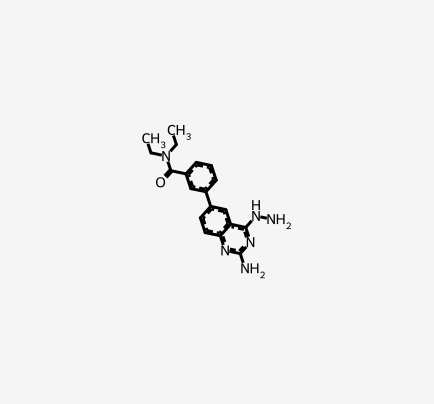 CCN(CC)C(=O)c1cccc(-c2ccc3nc(N)nc(NN)c3c2)c1